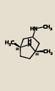 CNC1C[C@]2(C)CC[C@](C)(C1)N2